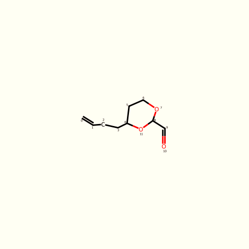 C=CCCC1CCOC(C=O)O1